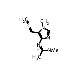 C=C=Cc1c(/N=C(/C)NC)ncn1C